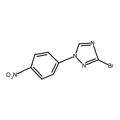 O=[N+]([O-])c1ccc(-n2cnc(Br)n2)cc1